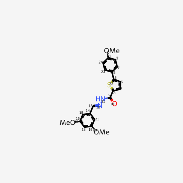 COc1ccc(-c2ccc(C(=O)NN=Cc3cc(OC)cc(OC)c3)s2)cc1